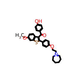 COc1ccc2c(C(=O)c3ccc(O)cc3)c(-c3ccc(OCCN4CCCCCC4)cc3)sc2c1